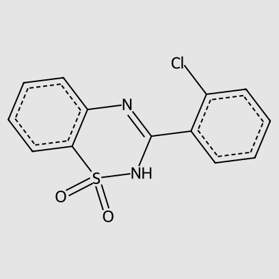 O=S1(=O)NC(c2ccccc2Cl)=Nc2ccccc21